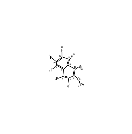 CC(C)Oc1c(F)c(F)c2c(F)c(F)c(F)c(F)c2c1Br